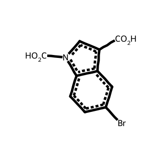 O=C(O)c1cn(C(=O)O)c2ccc(Br)cc12